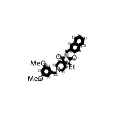 CCN1C(=O)N(Cc2ccc3ccccc3c2)C(=O)C12CCN(Cc1cc(OC)cc(OC)c1)CC2